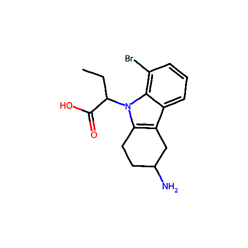 CCC(C(=O)O)n1c2c(c3cccc(Br)c31)CC(N)CC2